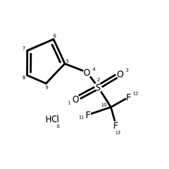 Cl.O=S(=O)(OC1=CC=CC1)C(F)(F)F